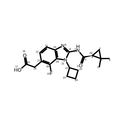 CC1(C)C[C@@H]1C(=O)Nc1nc2ccc(CC(=O)O)c(F)c2n1C1CCC1